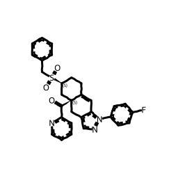 O=C(c1ccccn1)[C@]12Cc3cnn(-c4ccc(F)cc4)c3C=C1CC[C@H](S(=O)(=O)Cc1ccccc1)C2